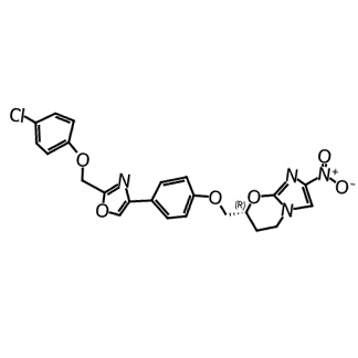 O=[N+]([O-])c1cn2c(n1)O[C@@H](COc1ccc(-c3coc(COc4ccc(Cl)cc4)n3)cc1)CC2